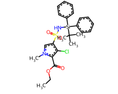 CCOC(=O)c1c(Cl)c(S(=O)(=O)N[Si](c2ccccc2)(c2ccccc2)C(C)(C)C)cn1C